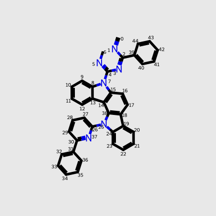 C=N/C(=N\C(=N/C)n1c2ccccc2c2c1ccc1c3ccccc3n(-c3cccc(-c4ccccc4)n3)c12)c1ccccc1